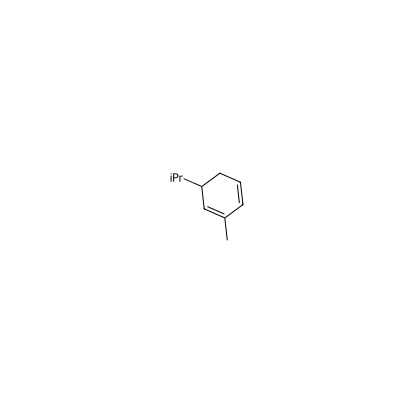 CC1=CC(C(C)C)CC=C1